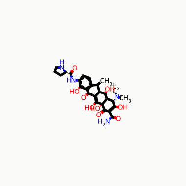 CC1c2ccc(NC(=O)[C@@H]3CCCN3)c(O)c2C(=O)C2=C(O)[C@]3(O)C(=O)C(C(N)=O)=C(O)[C@@H](N(C)C)C3C(O)C21